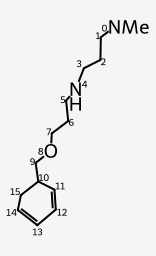 CNCCCNCCCOCC1C=CC=CC1